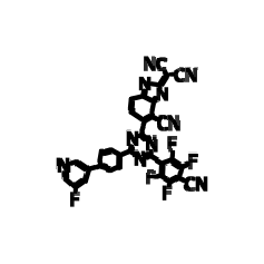 N#CC(C#N)=C1N=c2ccc(-c3nc(-c4ccc(-c5cncc(F)c5)cc4)nc(-c4c(F)c(F)c(C#N)c(F)c4F)n3)c(C#N)c2=N1